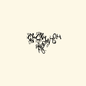 CN(CC(=O)O)C(=O)C[n+]1ccc(-c2ncccn2)cn1.O=C([O-])C(F)(F)F